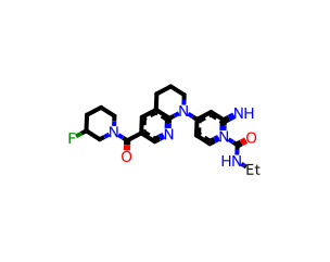 CCNC(=O)n1ccc(N2CCCc3cc(C(=O)N4CCCC(F)C4)cnc32)cc1=N